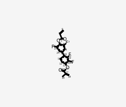 C=CC(=O)Oc1c(F)cc(-c2ccc(OC(=O)C(=C)C)c(F)c2F)cc1F